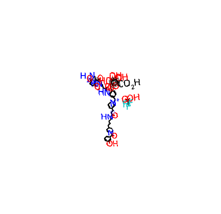 NC[C@@H](C(=O)NCCC(=O)Nc1cc(C[n+]2cccc(/C=C/C(=O)NCCCCC3CCN(C(=O)c4cccc(O)c4)CC3)c2)ccc1O[C@@H]1O[C@H](C(=O)O)[C@@H](O)[C@H](O)[C@H]1O)N1C(=O)C=CC1=O.O=C(O)C(F)(F)F